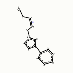 ClC/C=C\Cn1ccc(-c2ccccc2)c1